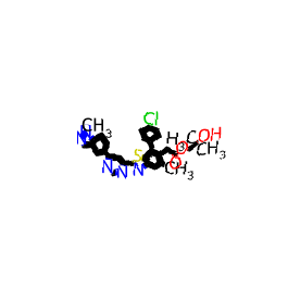 Cc1cc2nc(-c3cc(-c4ccc5c(cnn5C)c4)ncn3)sc2c(-c2ccc(Cl)cc2)c1CC(=O)OCC(C)(C)O